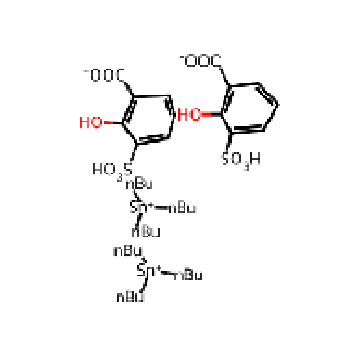 CCC[CH2][Sn+]([CH2]CCC)[CH2]CCC.CCC[CH2][Sn+]([CH2]CCC)[CH2]CCC.O=C([O-])c1cccc(S(=O)(=O)O)c1O.O=C([O-])c1cccc(S(=O)(=O)O)c1O